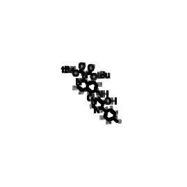 Cc1ccc(-c2ncnc(Nc3ccc4c(N(C(=O)OC(C)(C)C)C(=O)OC(C)(C)C)nccc4c3Cl)c2O)cc1